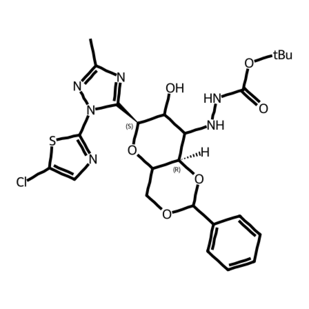 Cc1nc([C@@H]2OC3COC(c4ccccc4)O[C@@H]3C(NNC(=O)OC(C)(C)C)C2O)n(-c2ncc(Cl)s2)n1